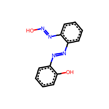 ON=Nc1ccccc1N=Nc1ccccc1O